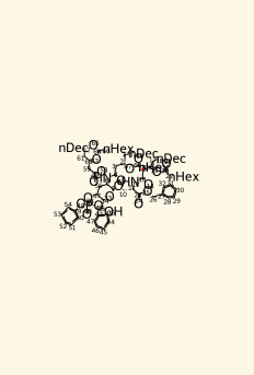 CCCCCCCCCCC[C@H](CC(=O)N[C@H]1[C@H](OC[C@H](NC(=O)C[C@@H](CCCCCCCCCCC)OC(=O)CCCCCC)C(=O)OCc2ccccc2)O[C@H](CO)[C@@H](OP(=O)(Oc2ccccc2)Oc2ccccc2)[C@@H]1OC(=O)C[C@@H](CCCCCCCCCCC)OC(=O)CCCCCC)OC(=O)CCCCCC